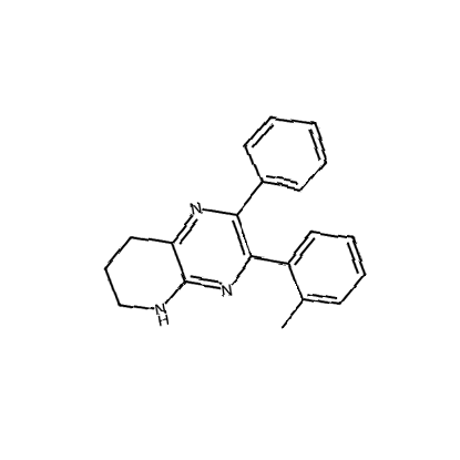 Cc1ccccc1-c1nc2c(nc1-c1ccccc1)CCCN2